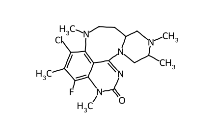 Cc1c(Cl)c2c3c(nc(=O)n(C)c3c1F)N1CC(C)N(C)CC1CCN2C